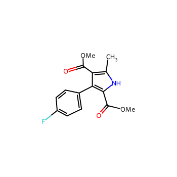 COC(=O)c1[nH]c(C)c(C(=O)OC)c1-c1ccc(F)cc1